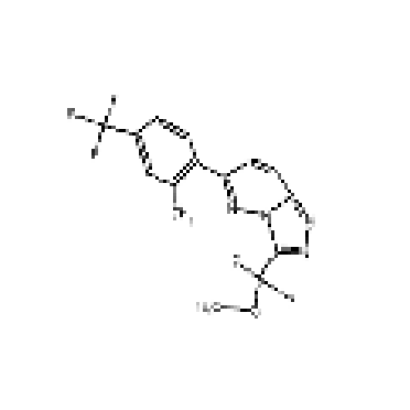 COC(F)(F)c1nnc2ccc(-c3ccc(C(F)(F)F)cc3C)nn12